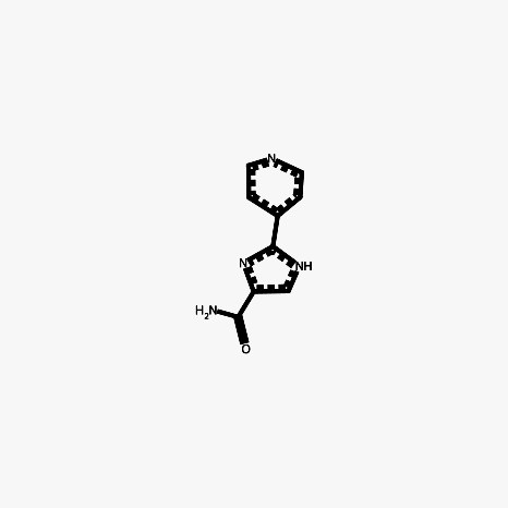 NC(=O)c1c[nH]c(-c2ccncc2)n1